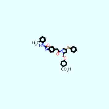 Cc1ccccc1Nc1nc2ccc(CC(=O)N3C[C@@H](Sc4ccccc4)C[C@H]3CO[C@H]3CC[C@H](C(=O)O)CC3)cc2o1